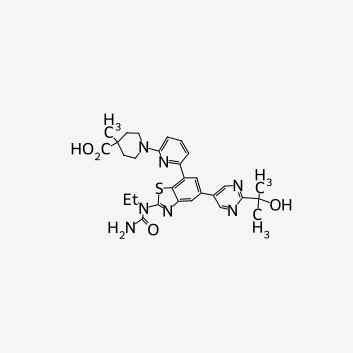 CCN(C(N)=O)c1nc2cc(-c3cnc(C(C)(C)O)nc3)cc(-c3cccc(N4CCC(C)(C(=O)O)CC4)n3)c2s1